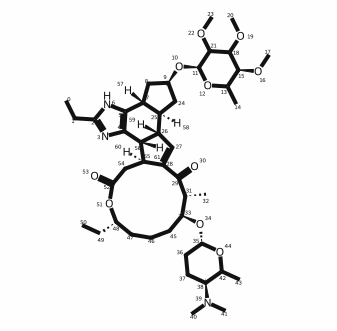 CCc1nc2c([nH]1)[C@@H]1C[C@@H](O[C@@H]3OC(C)[C@H](OC)C(OC)C3OC)C[C@H]1[C@@H]1C=C3C(=O)[C@H](C)[C@@H](O[C@H]4CC[C@H](N(C)C)C(C)O4)CCC[C@H](CC)OC(=O)C[C@H]3[C@H]21